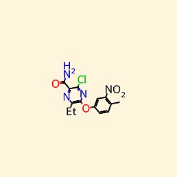 CCc1nc(C(N)=O)c(Cl)nc1Oc1ccc(C)c([N+](=O)[O-])c1